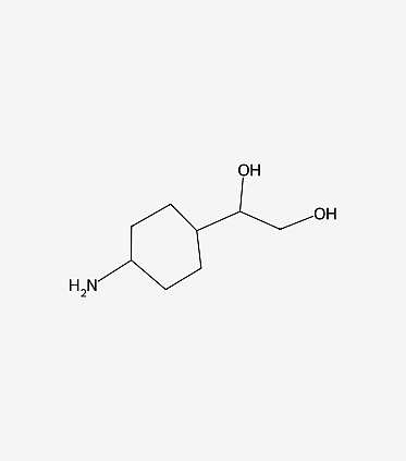 NC1CCC(C(O)CO)CC1